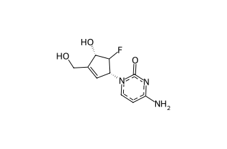 Nc1ccn([C@@H]2C=C(CO)[C@H](O)C2F)c(=O)n1